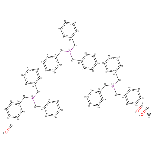 [C]=O.[C]=O.[C]=O.[W].c1ccc(CP(Cc2ccccc2)Cc2ccccc2)cc1.c1ccc(CP(Cc2ccccc2)Cc2ccccc2)cc1.c1ccc(CP(Cc2ccccc2)Cc2ccccc2)cc1